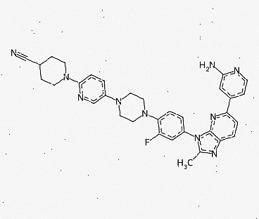 Cc1nc2ccc(-c3ccnc(N)c3)nc2n1-c1ccc(N2CCN(c3ccc(N4CCC(C#N)CC4)nc3)CC2)c(F)c1